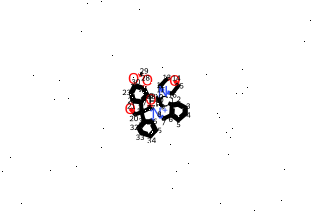 [CH]c1ccccc1C[N+]1(CCN2CCOCC2)C(=O)C2(COc3cc4c(cc32)OCO4)c2ccccc21